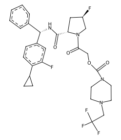 O=C(N[C@@H](c1ccccc1)c1ccc(C2CC2)c(F)c1)[C@@H]1C[C@@H](F)CN1C(=O)COC(=O)N1CCN(CC(F)(F)F)CC1